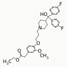 CCOC(=O)Cc1ccc(OCCCN2CCC(C(O)(c3ccc(F)cc3)c3ccc(F)cc3)CC2)c(OC)c1